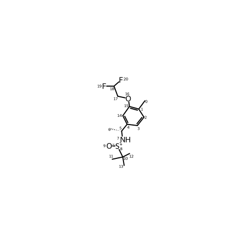 Cc1ccc([C@@H](C)N[S+]([O-])C(C)(C)C)cc1OCC(F)F